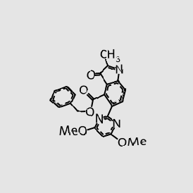 COc1cc(OC)nc(-c2ccc3c(c2C(=O)OCc2ccccc2)C(=O)C(C)=N3)n1